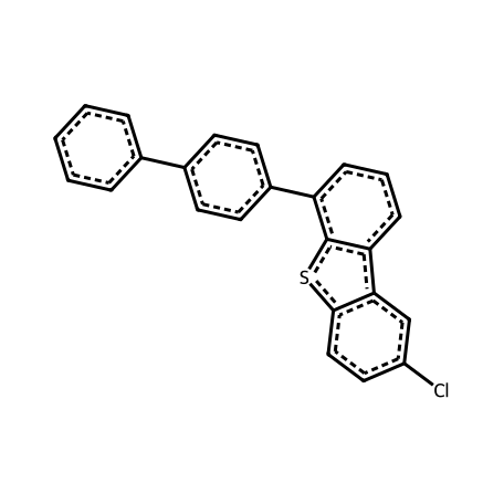 Clc1ccc2sc3c(-c4ccc(-c5ccccc5)cc4)cccc3c2c1